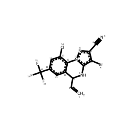 C=CC1Nc2c(Br)c(C#N)nn2-c2c(Cl)cc(C(F)(F)F)cc21